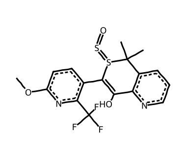 COc1ccc(C2=C(O)c3ncccc3C(C)(C)S2=S=O)c(C(F)(F)F)n1